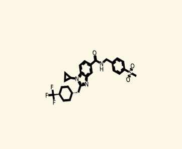 CS(=O)(=O)c1ccc(CNC(=O)c2ccc3c(c2)nc(C[C@H]2CC[C@H](C(F)(F)F)CC2)n3C2CC2)cc1